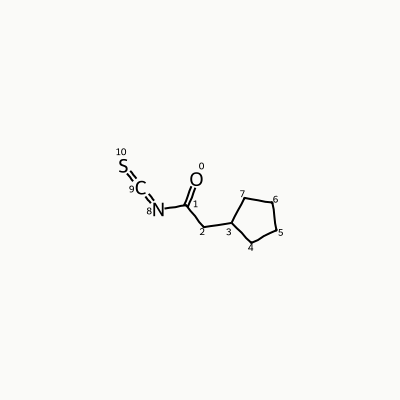 O=C(CC1CCCC1)N=C=S